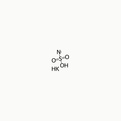 [KH].[N]S(=O)(=O)O